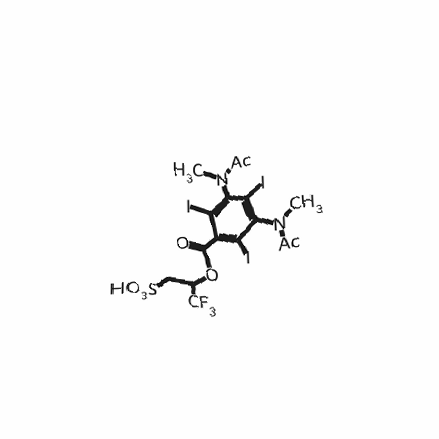 CC(=O)N(C)c1c(I)c(C(=O)OC(CS(=O)(=O)O)C(F)(F)F)c(I)c(N(C)C(C)=O)c1I